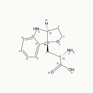 N[C@@H](C[C@]12OCC[C@@H]1Nc1ccccc12)C(=O)O